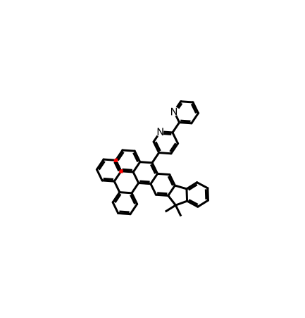 CC1(C)c2ccccc2-c2cc3c(-c4ccc(-c5ccccn5)nc4)c4ccccc4c(-c4ccccc4-c4ccccc4)c3cc21